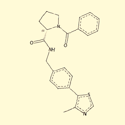 Cc1ncsc1-c1ccc(CNC(=O)[C@@H]2CCCN2C(=O)c2ccccc2)cc1